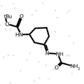 CC(C)(C)OC(=O)NC1CCC/C(=N\NC(N)=O)C1